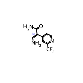 N/C=C(/C(N)=O)c1ccnc(C(F)(F)F)c1